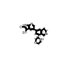 CCc1c(Cl)[nH]c2ncc(-c3cc4c(c([C@@H]5COCCN5)c3)C=NCC4)cc12